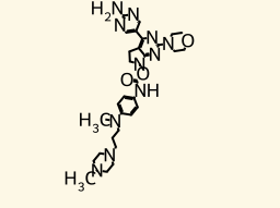 CN1CCN(CCCN(C)c2ccc(NC(=O)ON3CCc4c(-c5cnc(N)nc5)nc(N5CCOCC5)nc43)cc2)CC1